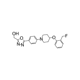 OCc1nnc(-c2ccc(N3CCC(Oc4ccccc4CF)CC3)cc2)o1